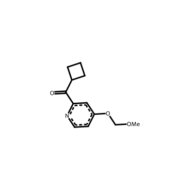 COCOc1ccnc(C(=O)C2CCC2)c1